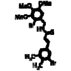 COc1cc(CNC(=S)/C=C/c2cc(C)c(C)c(Br)c2)c(Br)c(OC)c1OC